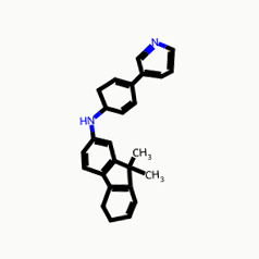 CC1(C)C2=C(CCC=C2)c2ccc(NC3C=CC(c4cccnc4)=CC3)cc21